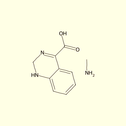 CN.O=C(O)C1=NCNc2ccccc21